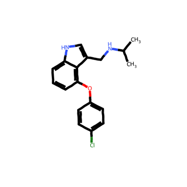 CC(C)NCc1c[nH]c2cccc(Oc3ccc(Cl)cc3)c12